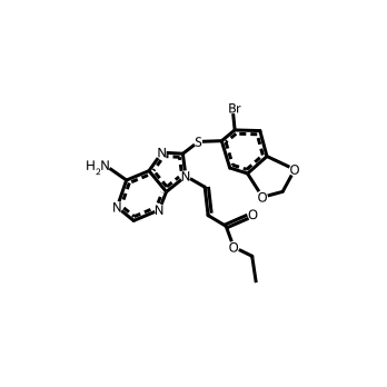 CCOC(=O)C=Cn1c(Sc2cc3c(cc2Br)OCO3)nc2c(N)ncnc21